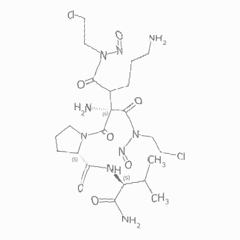 CC(C)[C@H](NC(=O)[C@@H]1CCCN1C(=O)[C@](N)(C(=O)N(CCCl)N=O)C(CCCN)C(=O)N(CCCl)N=O)C(N)=O